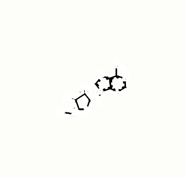 Nc1ncnc2c1ncn2O[C@@H]1O[C@H](CO)[C@@H](O)[C@H]1O